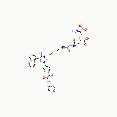 NC(CSC(CC(=O)NCC(=O)NCCCCCCn1nc(-c2ccc(NC(=O)N3Cc4ccncc4C3)cc2)cc(-c2cccc3ncccc23)c1=O)C(=O)O)C(=O)O